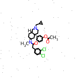 CC(=O)Oc1cccc([C@@]23CCN(CC4CC4)C[C@H]2CC[C@@H](N(C)C(=O)Cc2ccc(Cl)c(Cl)c2)C3)c1